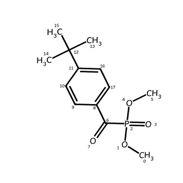 COP(=O)(OC)C(=O)c1ccc(C(C)(C)C)cc1